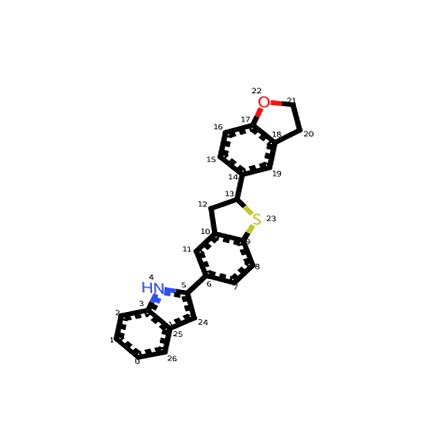 c1ccc2[nH]c(-c3ccc4c(c3)CC(c3ccc5c(c3)CCO5)S4)cc2c1